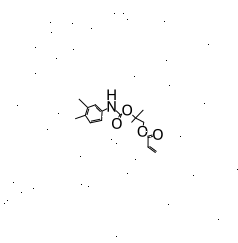 C=CC(=O)OCC(C)(C)OC(=O)Nc1ccc(C)c(C)c1